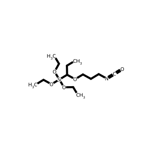 CCO[Si](OCC)(OCC)C(CC)OCCCN=C=O